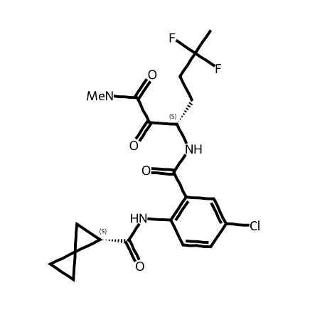 CNC(=O)C(=O)[C@H](CCC(C)(F)F)NC(=O)c1cc(Cl)ccc1NC(=O)[C@H]1CC12CC2